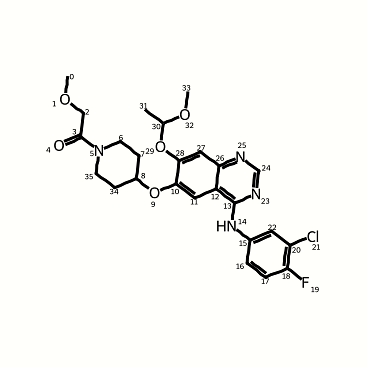 COCC(=O)N1CCC(Oc2cc3c(Nc4ccc(F)c(Cl)c4)ncnc3cc2OC(C)OC)CC1